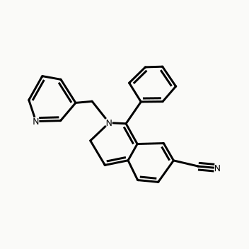 N#Cc1ccc2c(c1)=C(c1ccccc1)N(Cc1cccnc1)CC=2